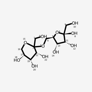 OCC1(OC[C@H]2O[C@](O)(CO)[C@H](O)[C@@H]2O)OC[C@@H](O)[C@@H](O)[C@H]1O